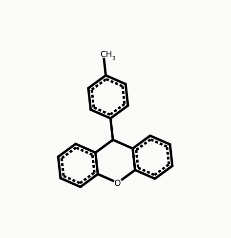 Cc1ccc([C]2c3ccccc3Oc3ccccc32)cc1